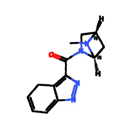 CN1[C@H]2C[C@H]1N(C(=O)C1=C3CC=CC=C3N=N1)C2